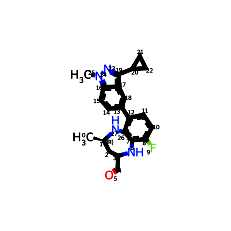 C[C@@H]1CC(C=O)Nc2c(F)ccc(-c3ccc4c(c3)c(C3CC3)nn4C)c2N1